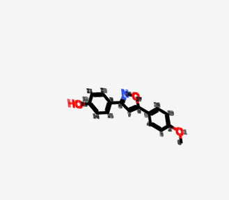 COc1ccc(-c2cc(-c3ccc(O)cc3)no2)cc1